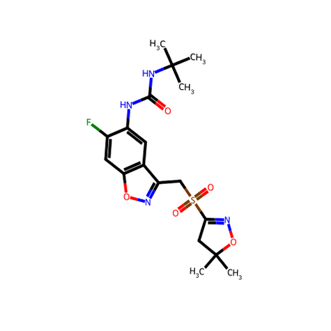 CC(C)(C)NC(=O)Nc1cc2c(CS(=O)(=O)C3=NOC(C)(C)C3)noc2cc1F